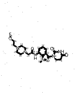 Cn1nc(N2CCC(=O)NC2=O)c2cccc(NC(=O)CN3CCN(CCOF)CC3)c21